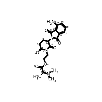 C[C@@H](C(=O)OCCN1C(=O)CCC(N2C(=O)c3cccc(N)c3C2=O)C1=O)N(C)C